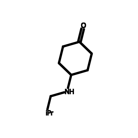 CC(C)CNC1CCC(=O)CC1